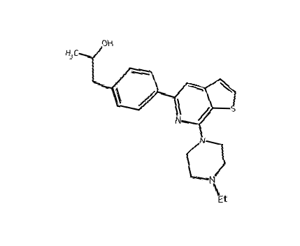 CCN1CCN(c2nc(-c3ccc(CC(C)O)cc3)cc3ccsc23)CC1